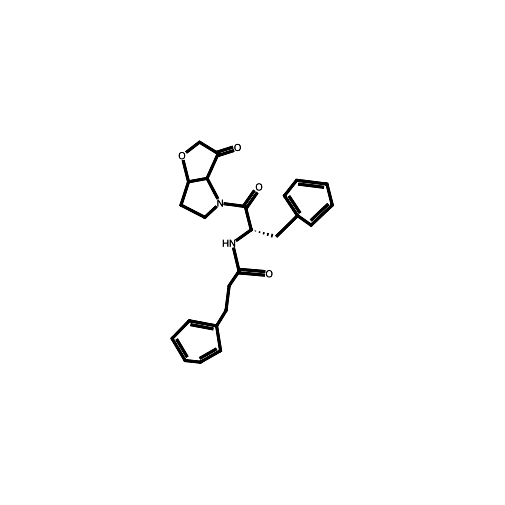 O=C(CCc1ccccc1)N[C@@H](Cc1ccccc1)C(=O)N1CCC2OCC(=O)C21